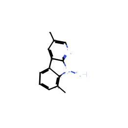 Cc1cnc2c(c1)c1cccc(C)c1n2N